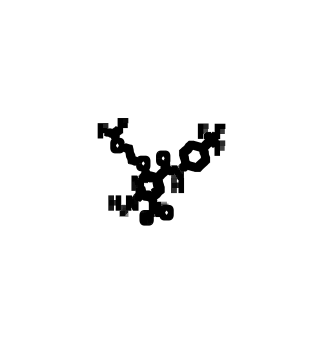 Nc1nc(OCCOC(F)F)c(C(=O)NC2CCC(C(F)(F)F)CC2)cc1[N+](=O)[O-]